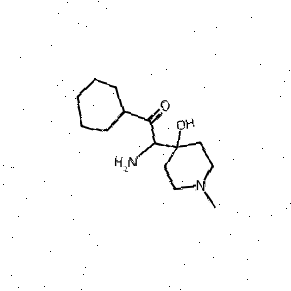 CN1CCC(O)(C(N)C(=O)C2CCCCC2)CC1